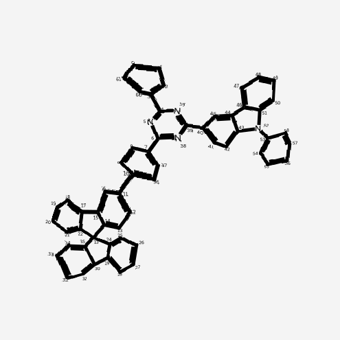 c1ccc(-c2nc(-c3ccc(-c4ccc5c(c4)-c4ccccc4C54c5ccccc5-c5ccccc54)cc3)nc(-c3ccc4c(c3)c3ccccc3n4-c3ccccc3)n2)cc1